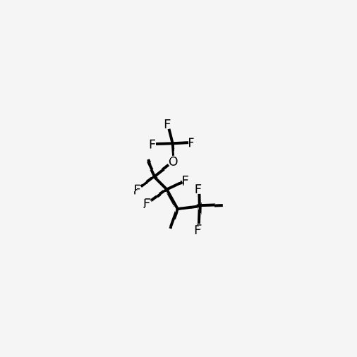 CC(C(C)(F)F)C(F)(F)C(C)(F)OC(F)(F)F